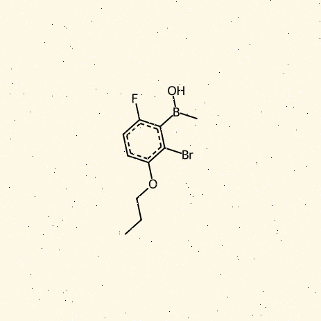 CCCOc1ccc(F)c(B(C)O)c1Br